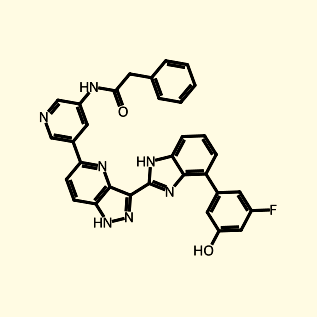 O=C(Cc1ccccc1)Nc1cncc(-c2ccc3[nH]nc(-c4nc5c(-c6cc(O)cc(F)c6)cccc5[nH]4)c3n2)c1